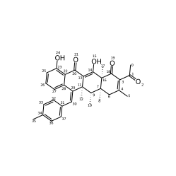 CC(=O)C1=C(C)C[C@@]2(C)[C@H](C)[C@]3(C)C(=C(O)[C@@]2(C)C1=O)C(=O)c1c(O)cccc1/C3=C\c1ccc(C)cc1